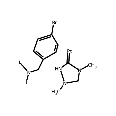 Brc1ccc(CN(I)I)cc1.CN1CN(C)[C](=[Pt])N1